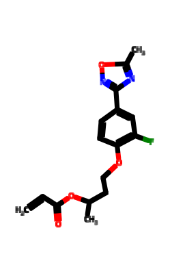 C=CC(=O)OC(C)CCOc1ccc(-c2noc(C)n2)cc1F